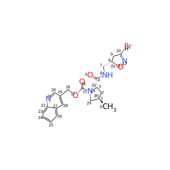 C[C@@H]1C[C@@H](C(=O)NC[C@@H]2CC(Br)=NO2)N(C(=O)OCc2cnc3ccccc3c2)C1